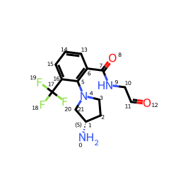 N[C@H]1CCN(c2c(C(=O)NCC=O)cccc2C(F)(F)F)C1